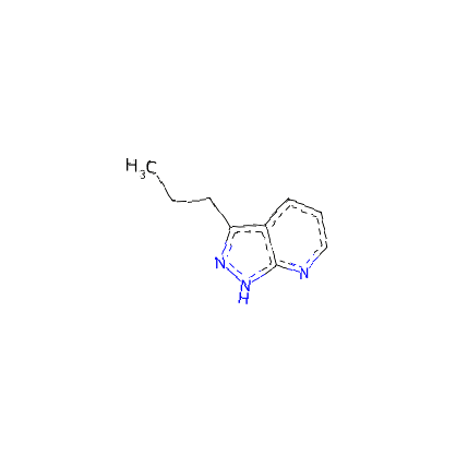 CCCc1n[nH]c2ncccc12